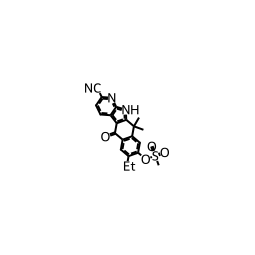 CCc1cc2c(cc1OS(C)(=O)=O)C(C)(C)c1[nH]c3nc(C#N)ccc3c1C2=O